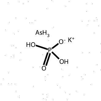 O=P([O-])(O)O.[AsH3].[K+]